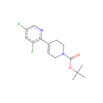 CC(C)(C)OC(=O)N1CC=C(c2ncc(F)cc2F)CC1